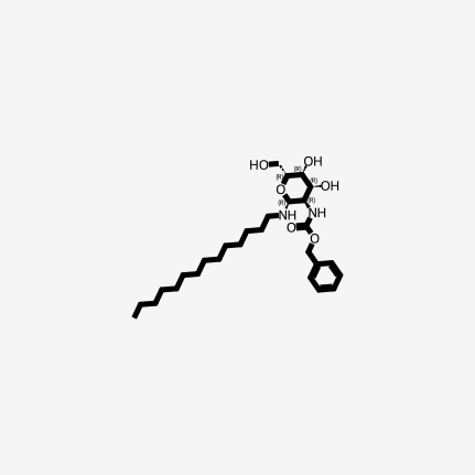 CCCCCCCCCCCCCCN[C@@H]1O[C@H](CO)[C@H](O)[C@H](O)[C@H]1NC(=O)OCc1ccccc1